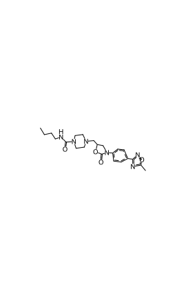 CCCCNC(=O)N1CCN(CC2CN(c3ccc(-c4noc(C)n4)cc3)C(=O)O2)CC1